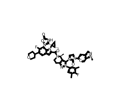 Cc1cc(-n2nc3c(c2-n2ccn(-c4ccc5c(cnn5C)c4)c2=O)[C@H](C)N(C(=O)c2cc4cc(C5CCOCC5)c(F)cc4n2[C@@]2(c4noc(=O)[nH]4)C[C@@H]2C)CC3)cc(C)c1F